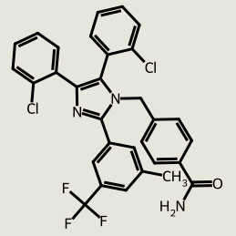 Cc1cc(-c2nc(-c3ccccc3Cl)c(-c3ccccc3Cl)n2Cc2ccc(C(N)=O)cc2)cc(C(F)(F)F)c1